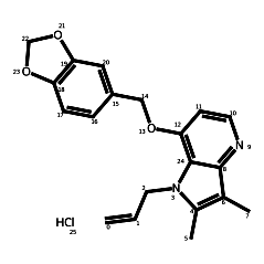 C=CCn1c(C)c(C)c2nccc(OCc3ccc4c(c3)OCO4)c21.Cl